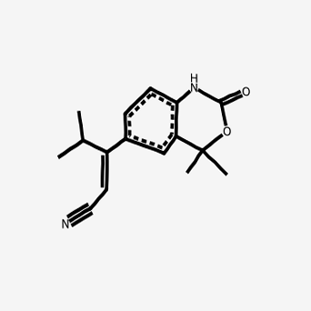 CC(C)C(=CC#N)c1ccc2c(c1)C(C)(C)OC(=O)N2